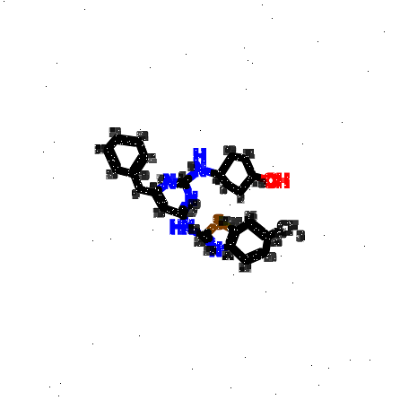 OC1CCC(Nc2nc(Cc3ccccc3)cc(Nc3nc4ccc(C(F)(F)F)cc4s3)n2)CC1